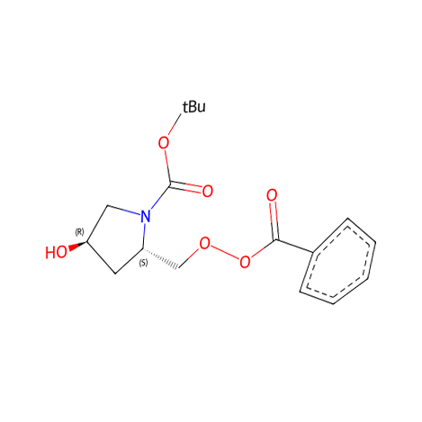 CC(C)(C)OC(=O)N1C[C@H](O)C[C@H]1COOC(=O)c1ccccc1